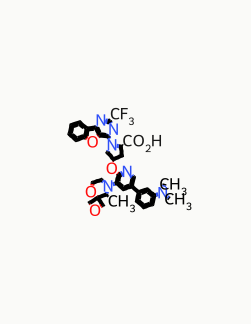 C[C@@H]1N(c2cc(-c3cccc(N(C)C)c3)cnc2O[C@H]2C[C@@H](C(=O)O)N(c3nc(C(F)(F)F)nc4c3oc3ccccc34)C2)CCOC12COC2